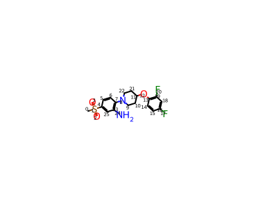 CS(=O)(=O)c1ccc(N2CCC(Oc3ccc(F)cc3F)CC2)c(N)c1